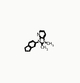 C=C1N(C)c2cccnc2N1c1ccc2c(c1)CCC2